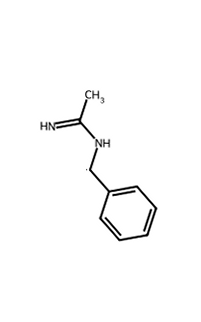 CC(=N)N[CH]c1ccccc1